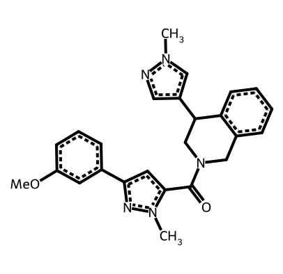 COc1cccc(-c2cc(C(=O)N3Cc4ccccc4C(c4cnn(C)c4)C3)n(C)n2)c1